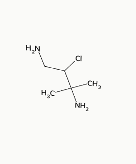 CC(C)(N)C(Cl)CN